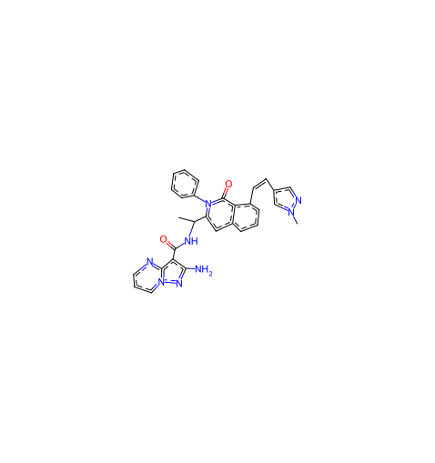 CC(NC(=O)c1c(N)nn2cccnc12)c1cc2cccc(/C=C\c3cnn(C)c3)c2c(=O)n1-c1ccccc1